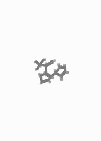 CC(C)(C)C(=O)c1sccc1-n1nccn1